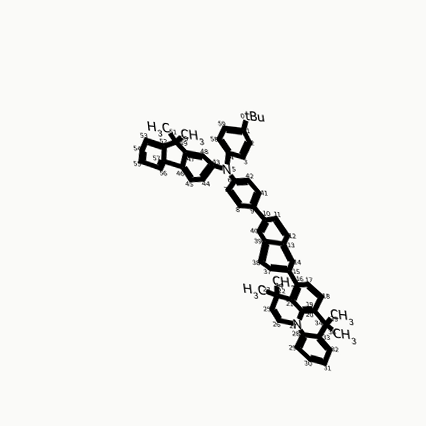 CC(C)(C)c1ccc(N(c2ccc(-c3ccc4cc(-c5ccc6c7c5C(C)(C)C=CN7c5ccccc5C6(C)C)ccc4c3)cc2)c2ccc3c(c2)C(C)(C)c2ccccc2-3)cc1